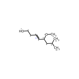 COC(/C=C/CCO)CC(C)C